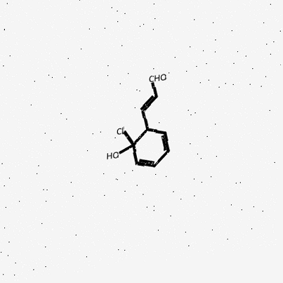 O=C/C=C/C1C=CC=CC1(O)Cl